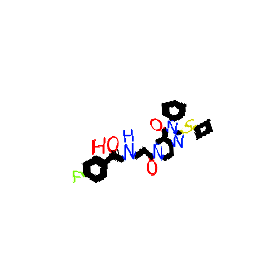 O=C(CCNC[C@H](O)c1ccc(F)cc1)N1CCc2nc(SC3CCC3)n(-c3ccccc3)c(=O)c2C1